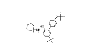 CC1(NCc2cc(C(C)(C)C)cc(-c3ccc(OC(F)(F)F)cc3)c2O)CCCCC1